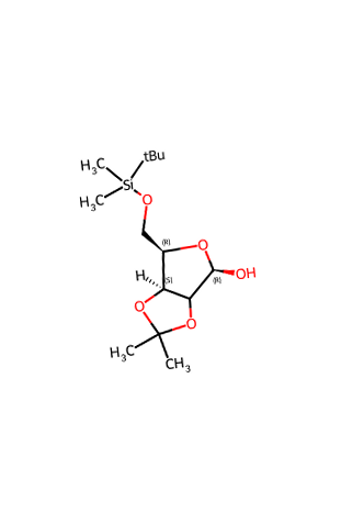 CC1(C)OC2[C@H](O)O[C@H](CO[Si](C)(C)C(C)(C)C)[C@@H]2O1